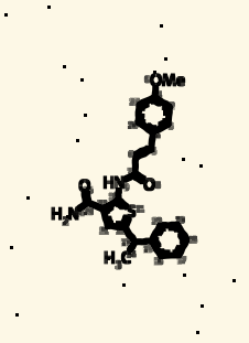 COc1ccc(/C=C/C(=O)Nc2sc(C(C)c3ccccc3)cc2C(N)=O)cc1